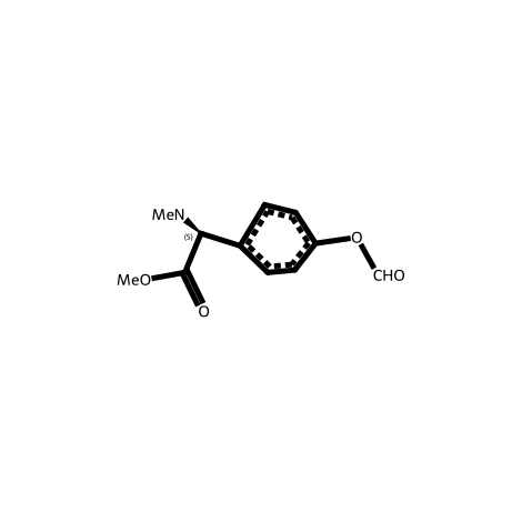 CN[C@H](C(=O)OC)c1ccc(OC=O)cc1